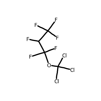 FC(C(F)(F)F)C(F)(F)OC(Cl)(Cl)Cl